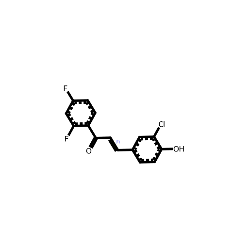 O=C(/C=C/c1ccc(O)c(Cl)c1)c1ccc(F)cc1F